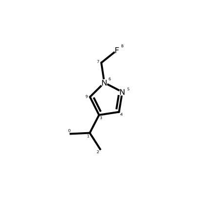 CC(C)c1cnn(CF)c1